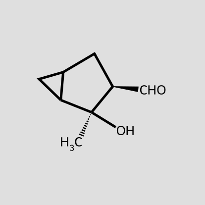 C[C@]1(O)C2CC2C[C@H]1C=O